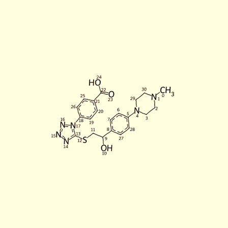 CN1CCN(c2ccc(C(O)CSc3nnnn3-c3ccc(C(=O)O)cc3)cc2)CC1